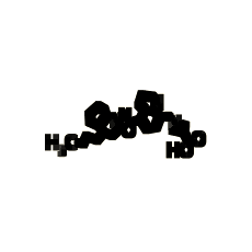 CCCCC(Cc1nnc(-c2ccc(CN3CC(C(=O)O)C3)c3ncccc23)o1)c1ccccc1